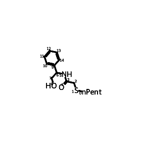 CCCCCSCC(=O)NC(CO)c1ccccc1